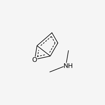 CNC.c1cc2oc1-2